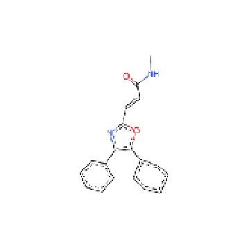 CNC(=O)/C=C/c1nc(-c2ccccc2)c(-c2ccccc2)o1